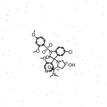 COc1ccc(S(=O)(=O)N2C(=O)C(c3ccncc3OC)(N3C[C@H](O)C[C@H]3C(=O)N(C)C)c3cc(Cl)ccc32)c(OC)c1